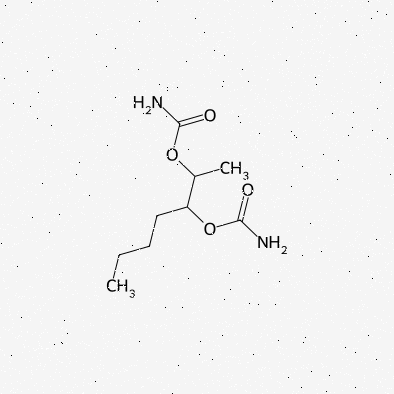 CCCCC(OC(N)=O)C(C)OC(N)=O